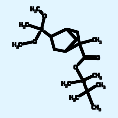 CO[Si](C)(OC)C1CC2CC1CC2(C)C(=O)O[Si](C)(C)C(C)(C)C